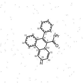 CCCC(=O)C1=C(c2ccccc2)c2ccccc2C2=CNC=CN21